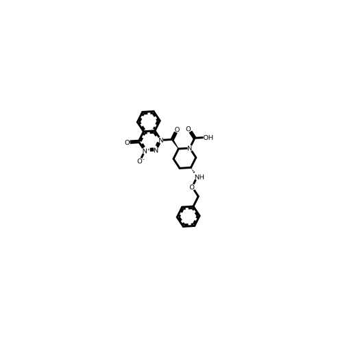 O=C(O)N1C[C@H](NOCc2ccccc2)CC[C@H]1C(=O)n1n[n+]([O-])c(=O)c2ccccc21